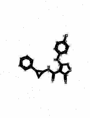 O=C(NC1CC1c1ccccc1)C1=C(Nc2ccc(Cl)cc2)COC1=O